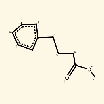 COC(=O)CC[CH]c1ccccc1